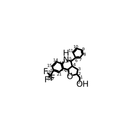 OCC1CC2C(c3ccccc3)Nc3ccc(C(F)(F)F)cc3C2O1